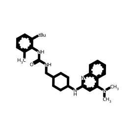 Cc1cccc(C(C)(C)C)c1NC(=O)NCC1CCC(Nc2cc(N(C)C)c3ccccc3n2)CC1